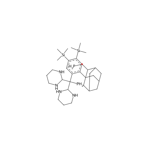 C[Si](C)(C)c1cc(C23CC4CC(CC(C4)C2CP)C3)c(C(P)(C2NCCCN2)C2NCCCN2)cc1[Si](C)(C)C